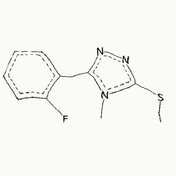 CSc1nnc(-c2ccccc2F)n1C